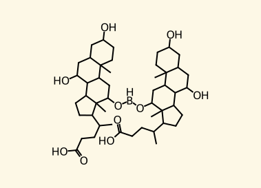 CC(CCC(=O)O)C1CCC2C3C(O)CC4CC(O)CCC4(C)C3CC(OBOC3CC4C(C(O)CC5CC(O)CCC54C)C4CCC(C(C)CCC(=O)O)C34C)C12C